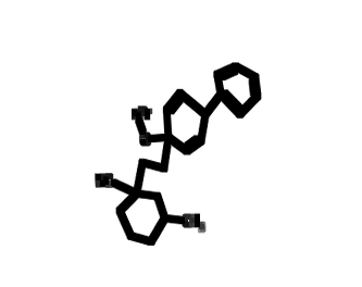 CCCOC1(CCC2(C#N)CCCC(C)C2)C=CC(c2ccccc2)C=C1